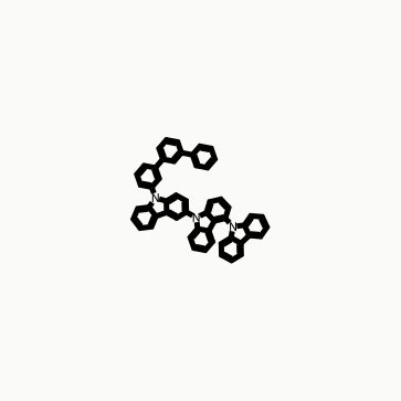 c1ccc(-c2cccc(-c3cccc(-n4c5ccccc5c5cc(-n6c7ccccc7c7c(-n8c9ccccc9c9ccccc98)cccc76)ccc54)c3)c2)cc1